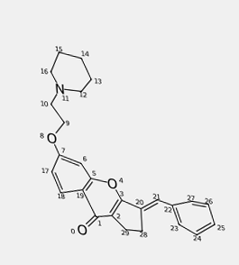 O=c1c2c(oc3cc(OCCN4CCCCC4)ccc13)/C(=C/c1ccccc1)CC2